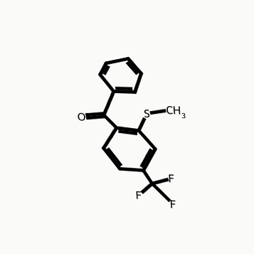 CSc1cc(C(F)(F)F)ccc1C(=O)c1ccccc1